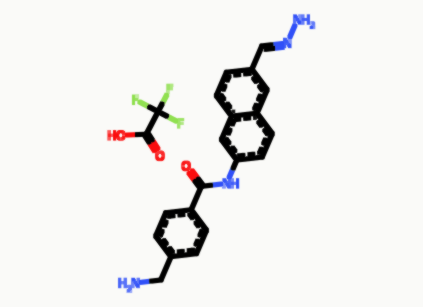 NCc1ccc(C(=O)Nc2ccc3cc(C=NN)ccc3c2)cc1.O=C(O)C(F)(F)F